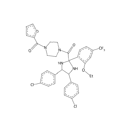 CCOc1cc(C(F)(F)F)ccc1C1(C(=O)N2CCN(C(=O)c3ccco3)CC2)NC(c2ccc(Cl)cc2)C(c2ccc(Cl)cc2)N1